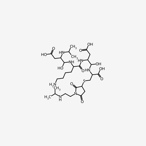 CC(C)NCCN1C(=O)CC(SCC(NC(O)C(CC(=O)O)NC(=O)C(CCCCN)NC(O)C(CC(=O)O)NC(C)C)C(=O)O)C1=O